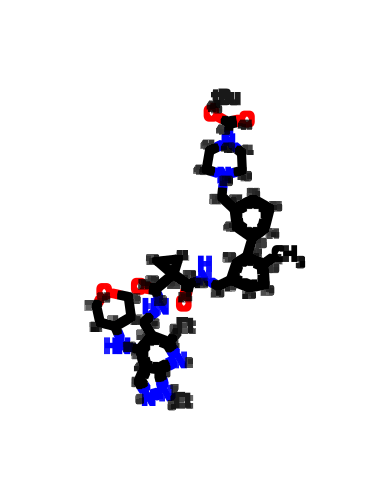 CCc1nc2c(cnn2CC)c(NC2CCOCC2)c1CNC(=O)C1(C(=O)NCc2ccc(C)c(-c3cccc(CN4CCN(C(=O)OC(C)(C)C)CC4)c3)c2)CC1